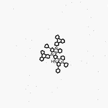 c1ccc(-c2cc3c4c(c2)N(c2ccccc2)c2ccccc2B4c2cc4c(cc2N3)N(c2ccc3c5ccccc5c5ccccc5c3c2)c2cc(-c3ccccc3)cc3c2B4c2ccccc2N3c2ccc3c4ccccc4c4ccccc4c3c2)cc1